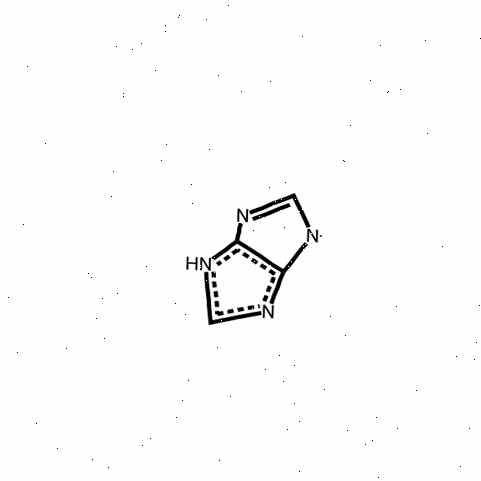 C1=Nc2[nH]cnc2[N]1